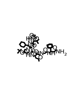 CCCC(NC(=O)[C@@H]1C[C@@H](OC(C)(C)C)CN1C(=O)[C@@H](NC(=O)[C@@H](NS(C)(=O)=O)C(C)C)C1CCCCC1)C(=O)C(=O)NCC(=O)NC(CC(N)=O)c1ccccc1